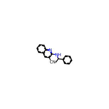 CC(Nc1nc2ccccc2cc1C#N)c1ccccc1